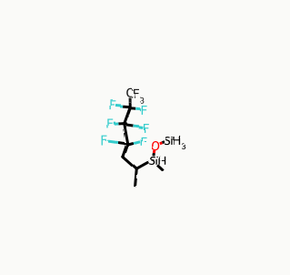 CC(CC(F)(F)C(F)(F)C(F)(F)C(F)(F)F)[SiH](C)O[SiH3]